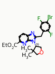 CCOC(=O)c1ccc2nc(Cc3cc(F)c(Br)cc3F)n([C@@H]3COCC3(C)C)c2n1